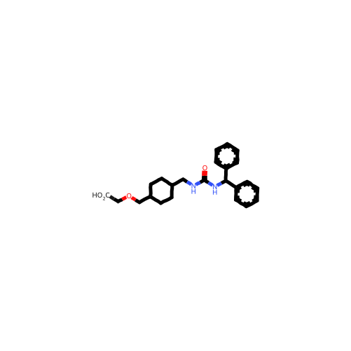 O=C(O)COCC1CCC(CNC(=O)NC(c2ccccc2)c2ccccc2)CC1